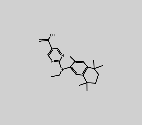 CCN(c1ncc(C(=O)O)cn1)c1cc2c(cc1C)C(C)(C)CCC2(C)C